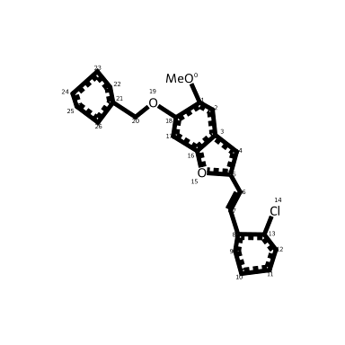 COc1cc2cc(C=Cc3ccccc3Cl)oc2cc1OCc1ccccc1